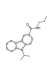 CCCNC(=O)c1ccc2c(c1)c1ccccc1n2C(C)C